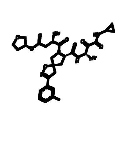 CCC[C@H](NC(=O)[C@@H]1C[C@]2(CC(c3cccc(C)c3)=NO2)CN1C(=O)[C@@H](CC(=O)O[C@H]1CCOC1)C(C)(C)C)C(=O)C(=O)NC1CC1